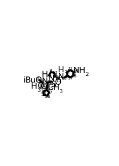 CC(C)COC(=O)N[C@H](C(=S)N1CCC[C@H]1C(=O)NCC1CCC(N)CC1)C(C)(C)C1CCCC1